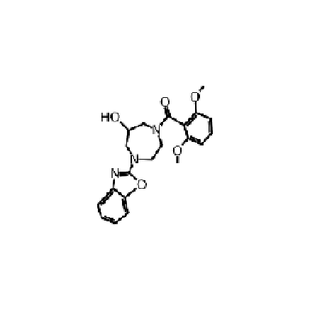 COc1cccc(OC)c1C(=O)N1CCN(c2nc3ccccc3o2)CC(O)C1